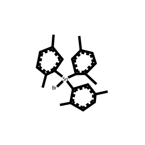 Cc1ccc(C)[c]([Sn]([Br])([c]2cc(C)ccc2C)[c]2cc(C)ccc2C)c1